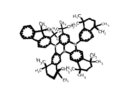 CC(C)(C)c1cc2c3c(c1)N(c1ccc4c(c1C(C)(C)C)C(C)(C)c1ccccc1-4)c1cc4c(cc1B3c1cc3c(cc1N2c1ccc2c(c1)C(C)(C)CCC2(C)C)C(C)(C)CCC3(C)C)C(C)(C)CCC4(C)C